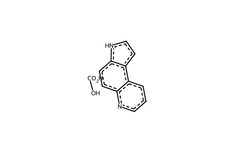 O=C(O)O.c1cnc2ccc3[nH]ccc3c2c1